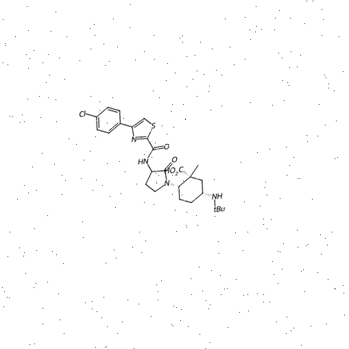 CC(C)(C)N[C@@H]1CC[C@H](N2CCC(NC(=O)c3nc(-c4ccc(Cl)cc4)cs3)C2=O)[C@](C)(C(=O)O)C1